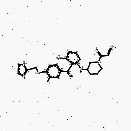 C=CC(=O)N1CCCC(Nc2ncnc(N)c2C(=N)c2ccc(OCc3ncc[nH]3)c(Cl)c2)C1